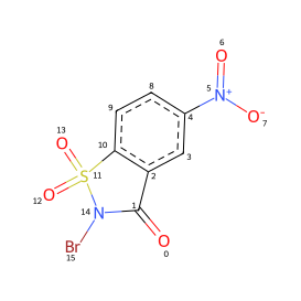 O=C1c2cc([N+](=O)[O-])ccc2S(=O)(=O)N1Br